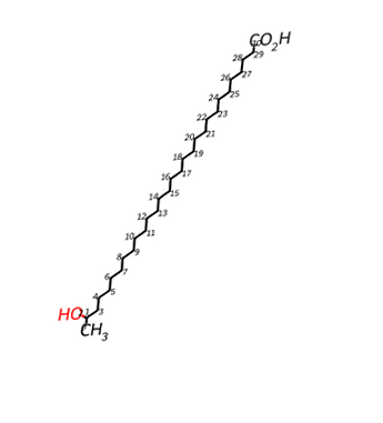 CC(O)CCCCCCCCCCCCCCCCCCCCCCCCCCCC(=O)O